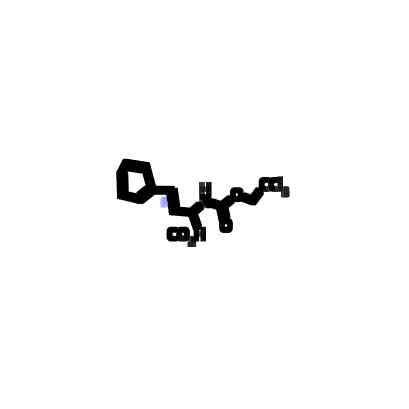 O=C(NC(/C=C/c1ccccc1)C(=O)O)OCC(Cl)(Cl)Cl